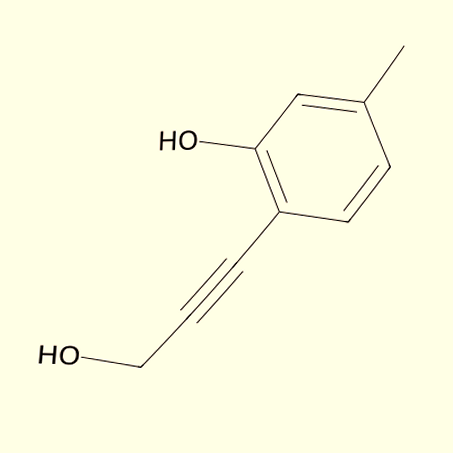 Cc1ccc(C#CCO)c(O)c1